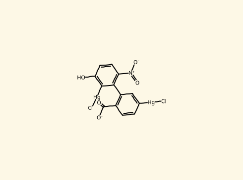 O=C([O-])c1cc[c]([Hg][Cl])cc1-c1c([N+](=O)[O-])ccc(O)[c]1[Hg][Cl]